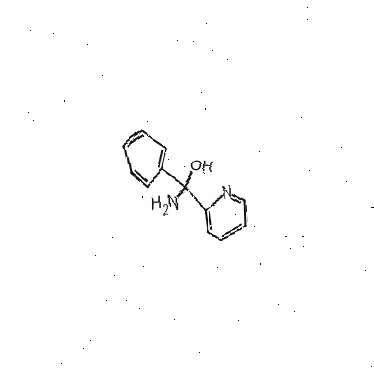 NC(O)(c1ccccc1)c1ccccn1